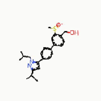 CC(C)Cn1nc(C(C)C)cc1-c1ccc(-c2ccc(CO)c([S+](C)[O-])c2)cc1